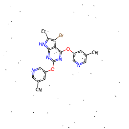 CCc1[nH]c2nc(Oc3cncc(C#N)c3)nc(Oc3cncc(C#N)c3)c2c1Br